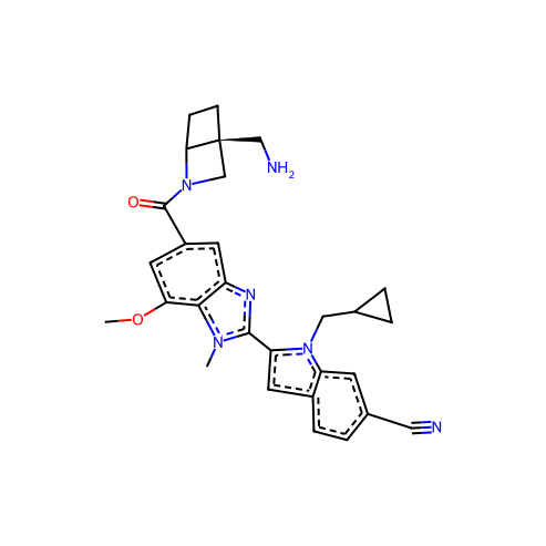 COc1cc(C(=O)N2C[C@@]3(CN)CCC23)cc2nc(-c3cc4ccc(C#N)cc4n3CC3CC3)n(C)c12